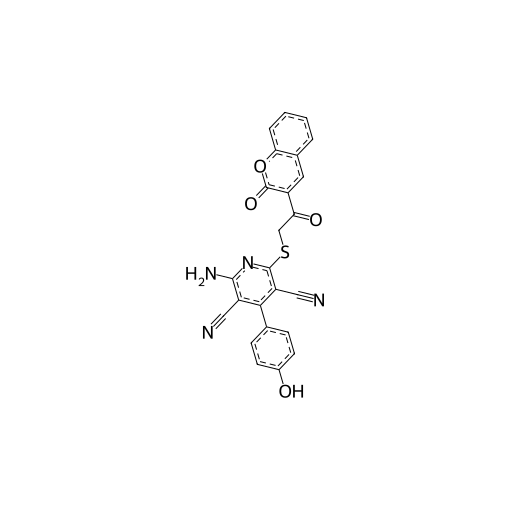 N#Cc1c(N)nc(SCC(=O)c2cc3ccccc3oc2=O)c(C#N)c1-c1ccc(O)cc1